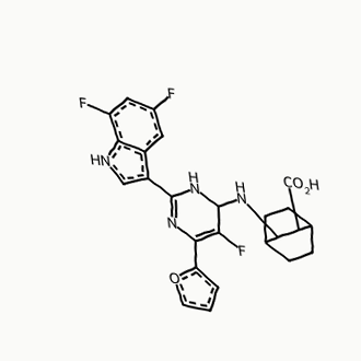 O=C(O)C1C2CCC(CC2)C1NC1NC(c2c[nH]c3c(F)cc(F)cc23)=NC(c2ccco2)=C1F